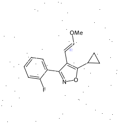 CO/C=C/c1c(-c2ccccc2F)noc1C1CC1